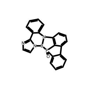 O=P12B3N(c4ccccc4-c4nccn43)c3cccc(c31)-c1ccccc12